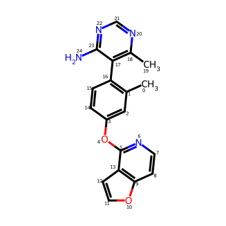 Cc1cc(Oc2nccc3occc23)ccc1-c1c(C)ncnc1N